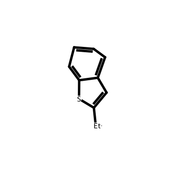 C[CH]c1cc2ccccc2s1